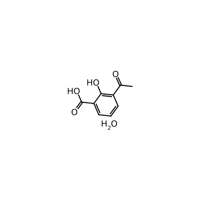 CC(=O)c1cccc(C(=O)O)c1O.O